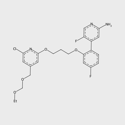 CCOCOCc1cc(Cl)nc(OCCCOc2cc(F)ccc2-c2cc(N)ncc2F)c1